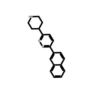 c1ccc2cc(-c3ccc(C4CCNCC4)nn3)ccc2c1